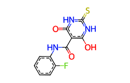 O=C(Nc1ccccc1F)c1c(O)[nH]c(=S)[nH]c1=O